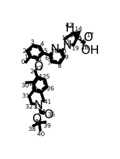 Cc1cccc(-c2cccc(N3C[C@@H]4C[C@]4(C(=O)O)C3)n2)c1OCc1ccc2c(c1C)CCN(C(=O)OC(C)(C)C)C2